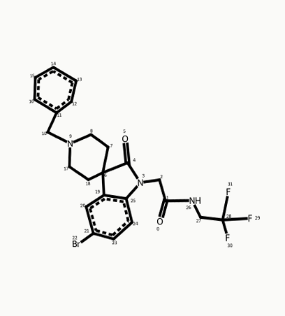 O=C(CN1C(=O)C2(CCN(Cc3ccccc3)CC2)c2cc(Br)ccc21)NCC(F)(F)F